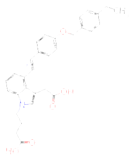 CCc1ccc(COc2ccc(/C=C/c3cccc4c3c(CC(=O)O)cn4CCCC(=O)O)cc2)cc1